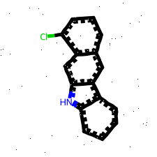 Clc1cccc2cc3c(cc12)[nH]c1ccccc13